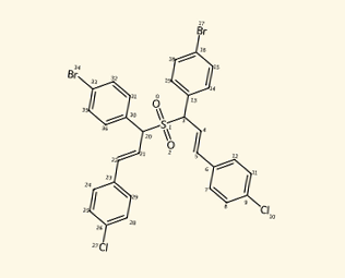 O=S(=O)(C(C=Cc1ccc(Cl)cc1)c1ccc(Br)cc1)C(C=Cc1ccc(Cl)cc1)c1ccc(Br)cc1